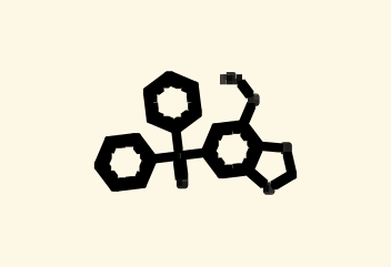 CCCCOc1cc(P(=O)(c2ccccc2)c2ccccc2)cc2c1OCO2